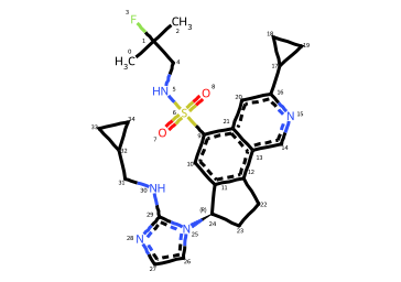 CC(C)(F)CNS(=O)(=O)c1cc2c(c3cnc(C4CC4)cc13)CC[C@H]2n1ccnc1NCC1CC1